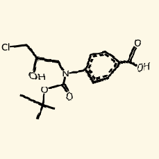 CC(C)(C)OC(=O)N(CC(O)CCl)c1ccc(C(=O)O)cc1